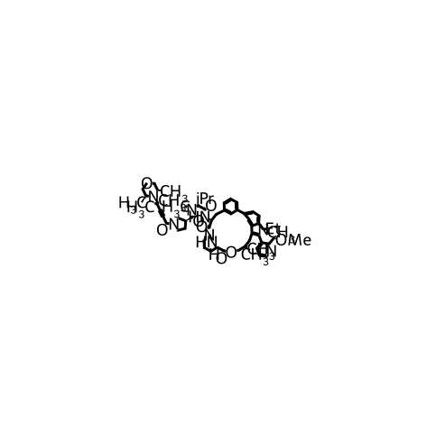 CCn1c(-c2cccnc2[C@H](C)OC)c2c3cc(ccc31)-c1cccc(c1)C[C@H](NC(=O)[C@H](C(C)C)N(C)C(=O)[C@H]1CCN(C(=O)C#CC(C)(C)N3[C@H](C)COC[C@@H]3C)C1)C(=O)N1CCC[C@H](N1)C(=O)OCC(C)(C)C2